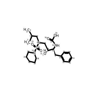 CC(C)CN(C[C@@H](O)[C@H](Cc1ccccc1)NC(=O)O)S(=O)(=O)N1CCCCC1